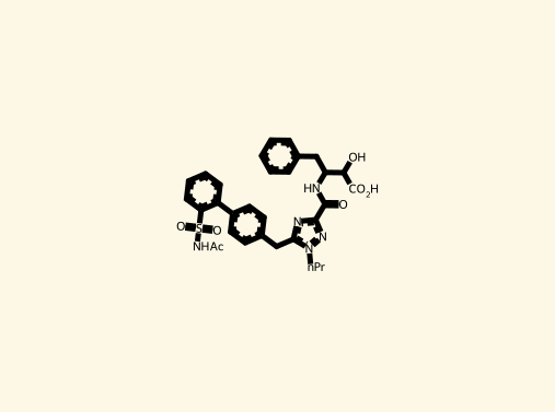 CCCn1nc(C(=O)NC(Cc2ccccc2)C(O)C(=O)O)nc1Cc1ccc(-c2ccccc2S(=O)(=O)NC(C)=O)cc1